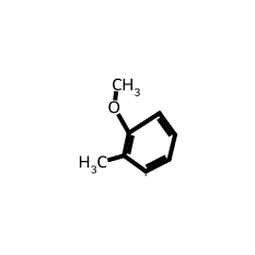 COc1ccc[c]c1C